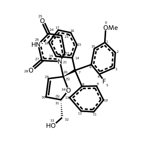 COc1ccc(F)c(C(c2ccccc2)(c2ccccc2)[C@]2(n3ccc(=O)[nH]c3=O)C=C[C@@H](CO)O2)c1